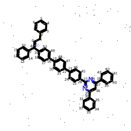 C(/Cc1ccccc1)=C(\c1ccccc1)c1ccc(-c2ccc(-c3ccc(-c4nc(-c5ccccc5)cc(-c5ccccc5)n4)cc3)cc2)cc1